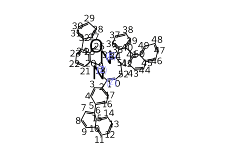 C1=C(c2ccc(-c3cccc4ccccc34)cc2)/N=C(c2cccc3c2oc2ccccc23)\N=C(\c2ccccc2-c2cccc3ccccc23)CC\1